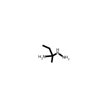 CCC(C)(N)NN